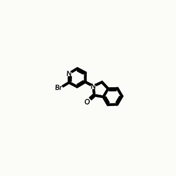 O=C1c2ccccc2CN1c1ccnc(Br)c1